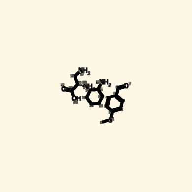 CSc1ccc(C=O)cc1.NC1CCCCC1.NC[C@H](N)C(=O)O